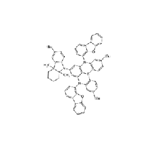 CC(C)(C)c1ccc2c(c1)N(c1cccc3c1oc1ccccc13)c1cc(N3c4ccc(C(C)(C)C)cc4C4(C)CCCCC34C)cc3c1B2c1ccc(C(C)(C)C)cc1N3c1cccc2c1oc1ccccc12